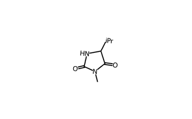 CC(C)C1NC(=O)N(C)C1=O